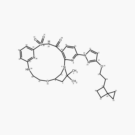 CC1(C)CC2CN1c1nc(-n3ccc(OCCC4CCC45CC5)n3)ccc1C(=O)NS(=O)(=O)c1cccc(n1)NCCO2